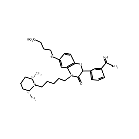 C[C@@H]1CCC[C@H](C)N1CCCCCN1C(=O)C(c2cccc(C(=N)N)c2)Oc2ccc(NCCCC(=O)O)cc21